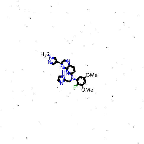 COc1cc(OC)c(F)c(N(Cc2ncc[nH]2)c2ccc3ncc(-c4cnn(C)c4)nc3n2)c1